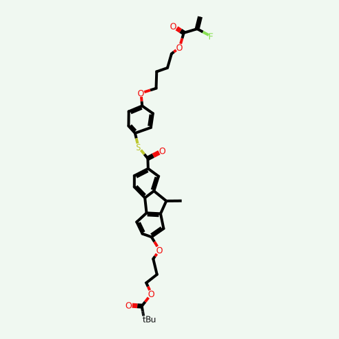 C=C(F)C(=O)OCCCCOc1ccc(SC(=O)c2ccc3c(c2)C(C)c2cc(OCCCOC(=O)C(C)(C)C)ccc2-3)cc1